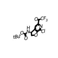 CC(C)(C)OC(=O)N[C@@H]1COc2c1cc(C(=O)C(F)(F)F)nc2Cl